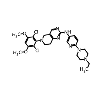 CCN1CCN(c2ccc(Nc3ncc4c(n3)CCN(c3c(Cl)c(OC)cc(OC)c3Cl)C4)cn2)CC1